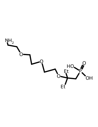 CCC(CC)(CP(=O)(O)O)OCCOCCOCCN